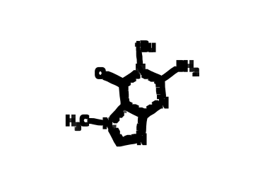 Bc1nc2ncn(C)c2c(=O)n1C(C)(C)C